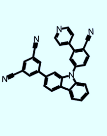 N#Cc1cc(C#N)cc(-c2ccc3c4ccccc4n(-c4ccc(C#N)c(-c5ccncc5)c4)c3c2)c1